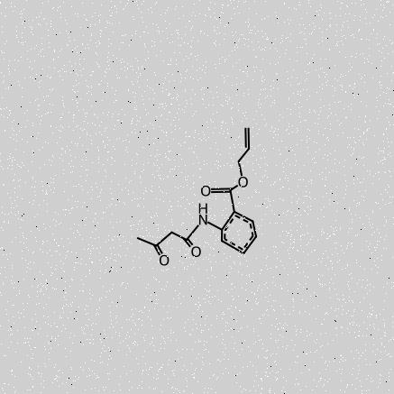 C=CCOC(=O)c1ccccc1NC(=O)CC(C)=O